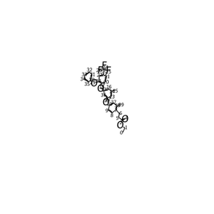 CCOC(=O)CCc1ccc(Oc2cc(C)cc(Oc3ccc(C(F)(F)F)cc3Oc3ccccc3)c2)cc1C